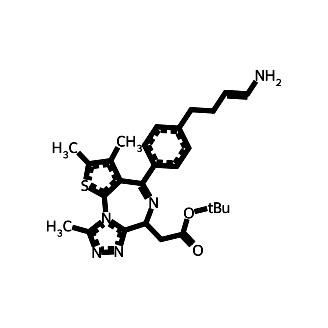 Cc1sc2c(c1C)C(c1ccc(CCC=CN)cc1)=NC(CC(=O)OC(C)(C)C)c1nnc(C)n1-2